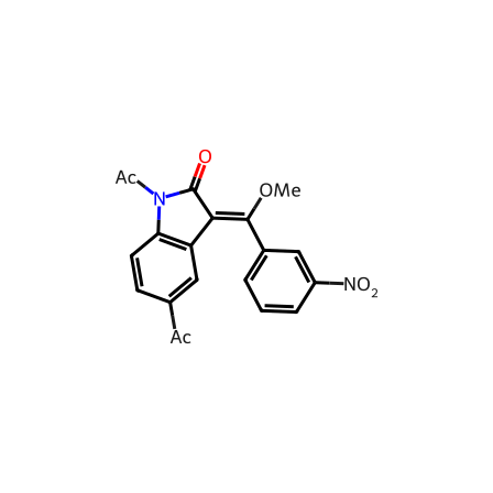 COC(=C1C(=O)N(C(C)=O)c2ccc(C(C)=O)cc21)c1cccc([N+](=O)[O-])c1